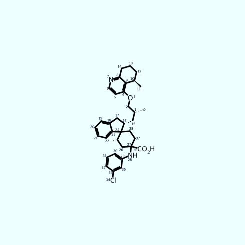 C[C@@H](COc1ccnc2c1[C@H](C)CCC2)C[C@H]1Cc2ccccc2C12CCC(Nc1cccc(Cl)c1)(C(=O)O)CC2